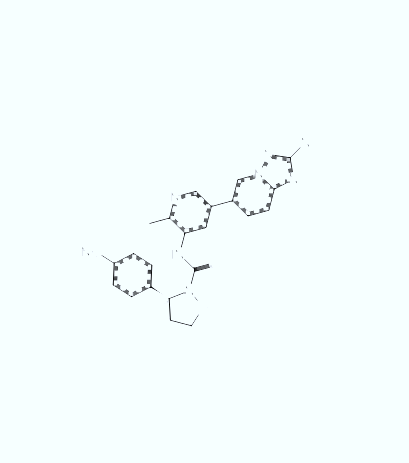 Cc1ncc(-c2ccc3nc(N)nn3c2)cc1NC(=O)N1OCC[C@H]1c1ccc(C#N)cc1